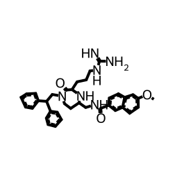 COc1ccc2cc(C(=O)NCC3CCN(CC(c4ccccc4)c4ccccc4)C(=O)C(CCCNC(=N)N)N3)ccc2c1